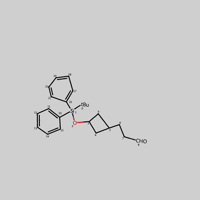 CC(C)(C)[Si](OC1CC(CCC=O)C1)(c1ccccc1)c1ccccc1